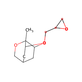 CC12OCC(CC1OCC1CO1)CC2OCC1CO1